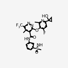 Cc1nc(C2(O)CC2)cc(F)c1Oc1nnc(C(F)(F)F)c(C)c1C(=O)Nc1cccc(S(C)(=N)=O)c1